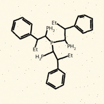 CCC(c1ccccc1)C(P)P(C(P)C(CC)c1ccccc1)C(P)C(CC)c1ccccc1